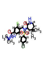 CN(C)NC(=O)c1ccc(CN(C2CC(C)(C)CCNC2=O)S(=O)(=O)c2ccc(Cl)cc2)c(F)c1